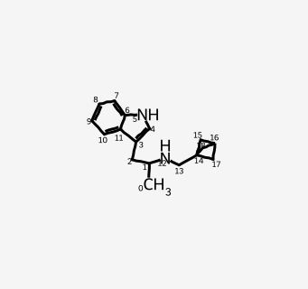 CC(Cc1c[nH]c2ccccc12)NCC12CC(C1)C2